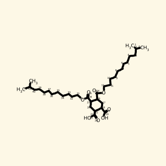 CC(C)CCCCCCCCCCOC(=O)C1CC(C(=O)O)C(C(=O)O)CC1C(=O)OCCCCCCCCCCC(C)C